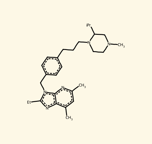 CCc1nc2c(C)cc(C)nc2n1Cc1ccc(CCCN2CCN(C)CC2C(C)C)cc1